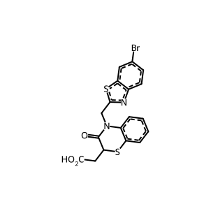 O=C(O)CC1Sc2ccccc2N(Cc2nc3ccc(Br)cc3s2)C1=O